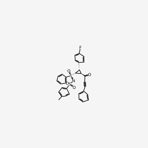 Cc1ccc(S(=O)(=O)N=S(=O)(c2ccccc2)[C@H]2[C@H](C(=O)C#Cc3ccccc3)[C@H]2c2ccc(F)cc2)cc1